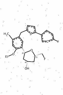 CCOc1cc(C)c(Cc2ccc(-c3ccc(F)cc3)s2)cc1[C@H]1C[C@@H](O)C[C@@H](CF)O1